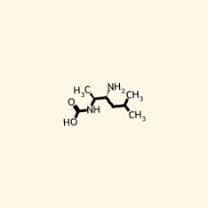 CC(C)C[C@@H](N)[C@H](C)NC(=O)O